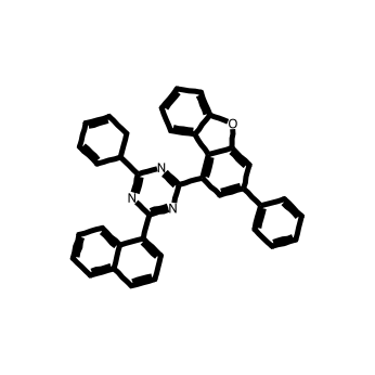 C1=CCC(c2nc(-c3cccc4ccccc34)nc(-c3cc(-c4ccccc4)cc4oc5ccccc5c34)n2)C=C1